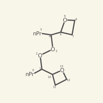 CCCC(OOC(CCC)C1CCO1)C1CCO1